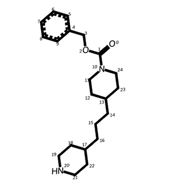 O=C(OCc1ccccc1)N1CCC(CCCC2CCNCC2)CC1